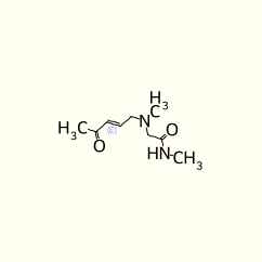 CNC(=O)CN(C)C/C=C/C(C)=O